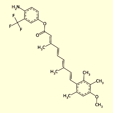 COc1cc(C)c(/C=C/C(C)=C/C=C/C(C)=C/C(=O)Oc2ccc(N)c(C(F)(F)F)c2)c(C)c1C